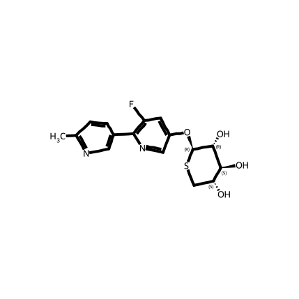 Cc1ccc(-c2ncc(O[C@@H]3SC[C@@H](O)[C@H](O)[C@H]3O)cc2F)cn1